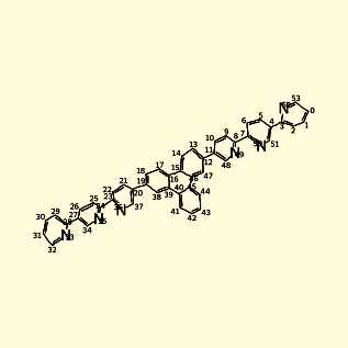 c1ccc(-c2ccc(-c3ccc(-c4ccc5c6ccc(-c7ccc(-c8ccc(-c9ccccn9)cn8)nc7)cc6c6ccccc6c5c4)cn3)nc2)nc1